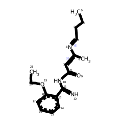 CCC/C=N/C(C)=C/C(=O)NC(=N)c1ccccc1OCC